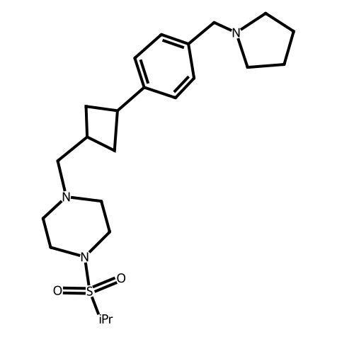 CC(C)S(=O)(=O)N1CCN(CC2CC(c3ccc(CN4CCCC4)cc3)C2)CC1